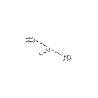 CCCCCC/C=C\C(C)OC(=O)CCCCCCCCCC(CCCCCCCCCC(OCCCCCCCCCC)OCCCCCCCCCC)OC(=O)CCCN(C)C